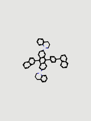 c1ccc2c(c1)CCCN2c1ccc2c(-c3ccc4ccccc4c3)c3cc(N4CCCc5ccccc54)ccc3c(-c3ccc(-c4cccc5ccccc45)cc3)c2c1